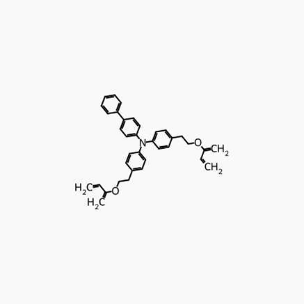 C=CC(=C)OCCc1ccc(N(c2ccc(CCOC(=C)C=C)cc2)c2ccc(-c3ccccc3)cc2)cc1